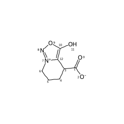 O=C([O-])C1CCC[n+]2noc(O)c21